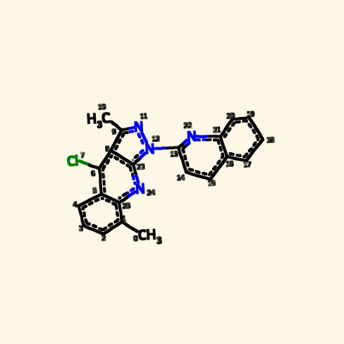 Cc1cccc2c(Cl)c3c(C)nn(-c4ccc5ccccc5n4)c3nc12